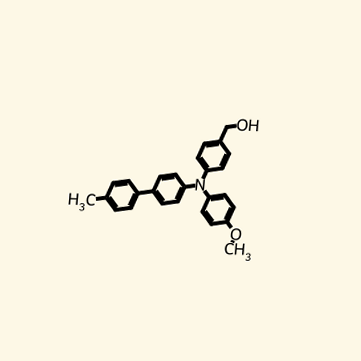 COc1ccc(N(c2ccc(CO)cc2)c2ccc(-c3ccc(C)cc3)cc2)cc1